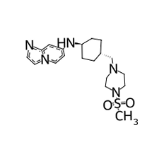 CS(=O)(=O)N1CCN(C[C@H]2CC[C@H](Nc3ccn4ccnc4c3)CC2)CC1